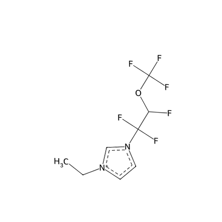 CC[n+]1ccn(C(F)(F)C(F)OC(F)(F)F)c1